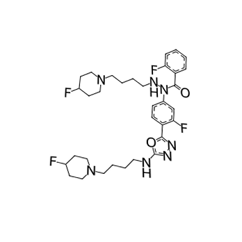 O=C(c1ccccc1F)N(NCCCCN1CCC(F)CC1)c1ccc(-c2nnc(NCCCCN3CCC(F)CC3)o2)c(F)c1